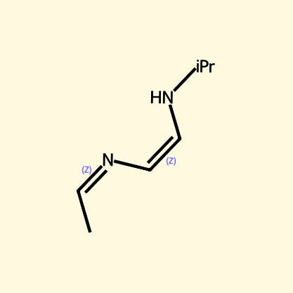 C/C=N\C=C/NC(C)C